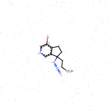 CCOC(=O)CCC1(N=[N+]=[N-])CCc2c(Br)cncc21